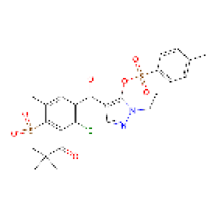 CCn1ncc(C(=O)c2cc(C)c3c(c2Cl)C(=O)C(C)(C)CS3(=O)=O)c1OS(=O)(=O)c1ccc(C)cc1